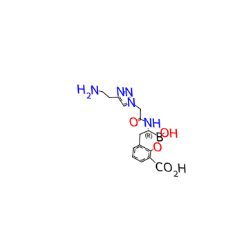 NCCc1cn(CC(=O)N[C@H]2Cc3cccc(C(=O)O)c3OB2O)nn1